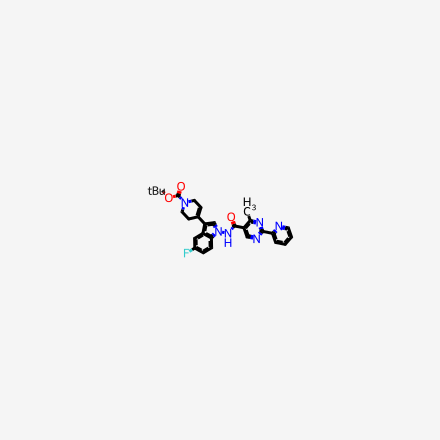 Cc1nc(-c2ccccn2)ncc1C(=O)Nn1cc(C2=CCN(C(=O)OC(C)(C)C)CC2)c2cc(F)ccc21